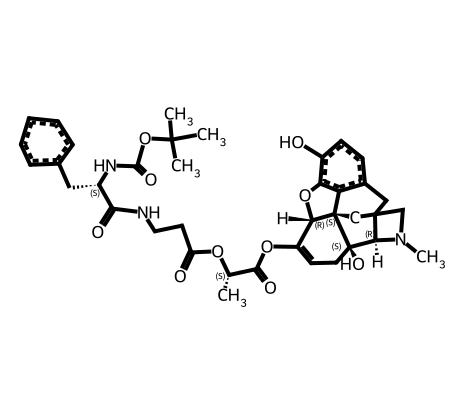 C[C@H](OC(=O)CCNC(=O)[C@H](Cc1ccccc1)NC(=O)OC(C)(C)C)C(=O)OC1=CC[C@@]2(O)[C@@H]3N(C)CC34Cc3ccc(O)c5c3[C@@]2(C4)[C@H]1O5